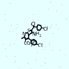 CCOC(=O)c1c(C)nc2sc(C(=O)c3ccc(Cl)cc3)c(N)c2c1-c1ccc(Cl)cc1